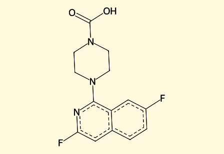 O=C(O)N1CCN(c2nc(F)cc3ccc(F)cc23)CC1